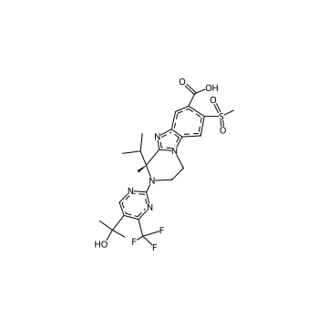 CC(C)[C@]1(C)c2nc3cc(C(=O)O)c(S(C)(=O)=O)cc3n2CCN1c1ncc(C(C)(C)O)c(C(F)(F)F)n1